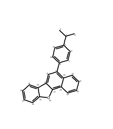 CC(C)c1ccc(-c2cc3c4ccccc4oc3c3ccccc23)cc1